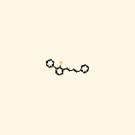 Pc1c(/C=C/C=C/c2ccccc2)cccc1-c1ccccc1